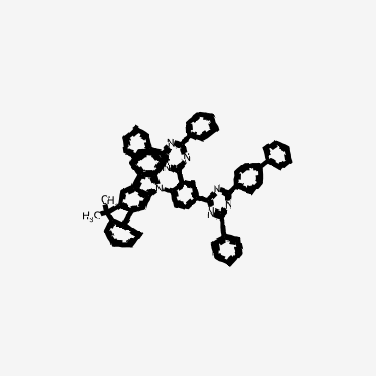 CC1(C)c2ccccc2-c2cc3c(cc21)c1ccccc1n3-c1ccc(-c2nc(-c3ccccc3)nc(-c3ccc(-c4ccccc4)cc3)n2)cc1-c1nc(-c2ccccc2)nc(-c2ccccc2)n1